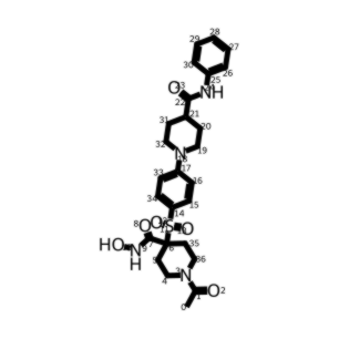 CC(=O)N1CCC(C(=O)NO)(S(=O)(=O)c2ccc(N3CCC(C(=O)Nc4ccccc4)CC3)cc2)CC1